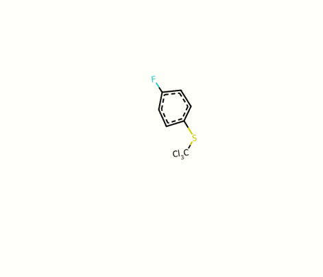 Fc1ccc(SC(Cl)(Cl)Cl)cc1